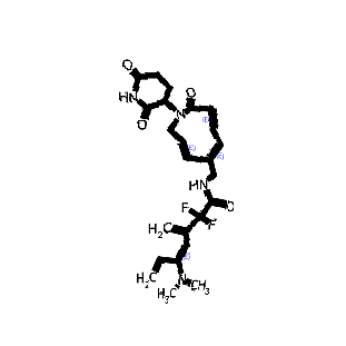 C=C/C(=C\C(=C)C(F)(F)C(=O)NCC1=C/C=C/C(=O)N(C2CCC(=O)NC2=O)C\C=C\1)N(C)C